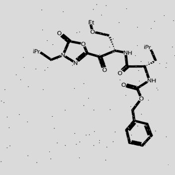 CCOC[C@H](NC(=O)[C@H](CC(C)C)NC(=O)OCc1ccccc1)C(=O)c1nn(CC(C)C)c(=O)o1